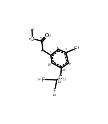 COC(=O)Cc1cc(F)cc(OC(F)F)c1